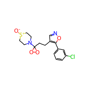 [O-][S+]1CCN(C2(CCc3cnoc3-c3cccc(Cl)c3)OO2)CC1